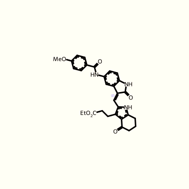 CCOC(=O)CCc1c(/C=C2\C(=O)Nc3ccc(NC(=O)c4ccc(OC)cc4)cc32)[nH]c2c1C(=O)CCC2